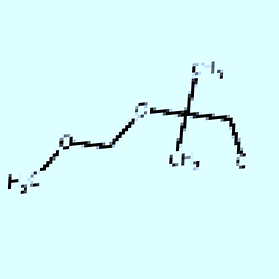 COCOC(C)(C)CCl